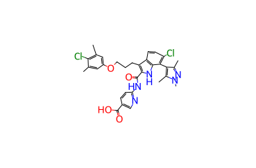 Cc1cc(OCCCc2c(C(=O)Nc3ccc(C(=O)O)cn3)[nH]c3c(-c4c(C)nn(C)c4C)c(Cl)ccc23)cc(C)c1Cl